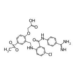 CS(=O)(=O)c1ccc(OCC(=O)O)c(CNc2ccc(Cl)cc2C(=O)Nc2ccc(C(=N)N)cc2)c1